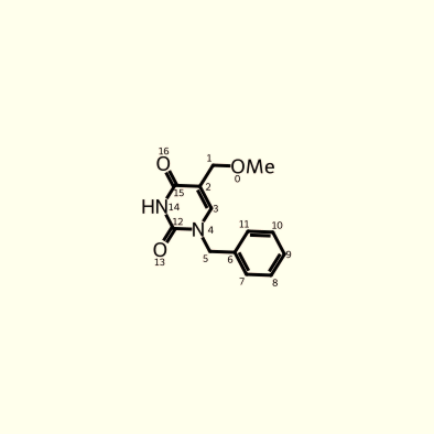 COCc1cn(Cc2ccccc2)c(=O)[nH]c1=O